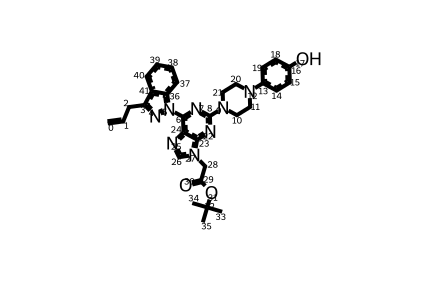 C=CCc1nn(-c2nc(N3CCN(c4ccc(O)cc4)CC3)nc3c2ncn3CC(=O)OC(C)(C)C)c2ccccc12